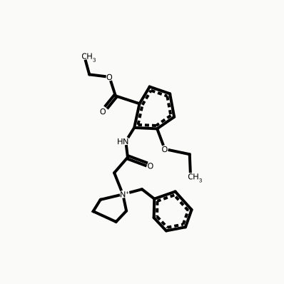 CCOC(=O)c1cccc(OCC)c1NC(=O)C[N+]1(Cc2ccccc2)CCCC1